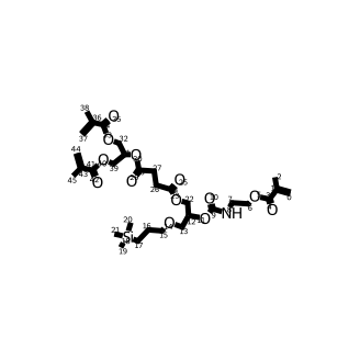 C=C(C)C(=O)OCCNC(=O)OC(COCCC[Si](C)(C)C)COC(=O)CCC(=O)OC(COC(=O)C(=C)C)COC(=O)C(=C)C